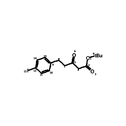 CC(C)(C)OC(=O)CC(=O)CCc1ccc(I)cc1